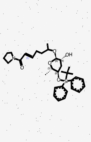 CC(CC/C=C/C(=O)N1CCCC1)O[C@@H]1O[C@@H](C)[C@H](O[Si](c2ccccc2)(c2ccccc2)C(C)(C)C)C[C@H]1O